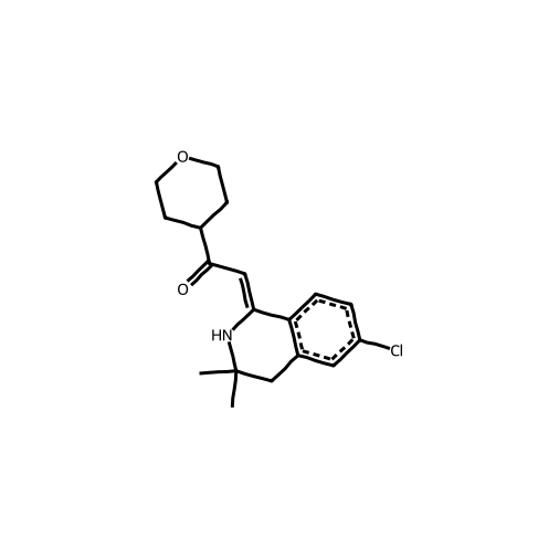 CC1(C)Cc2cc(Cl)ccc2C(=CC(=O)C2CCOCC2)N1